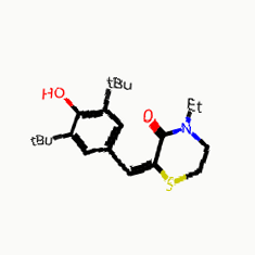 CCN1CCSC(=Cc2cc(C(C)(C)C)c(O)c(C(C)(C)C)c2)C1=O